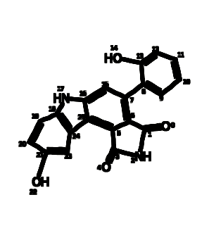 O=C1NC(=O)c2c1c(-c1ccccc1O)cc1[nH]c3ccc(O)cc3c21